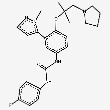 Cn1nccc1-c1cc(NC(=O)Nc2ccc(F)cc2)ccc1OC(C)(C)CN1CCCC1